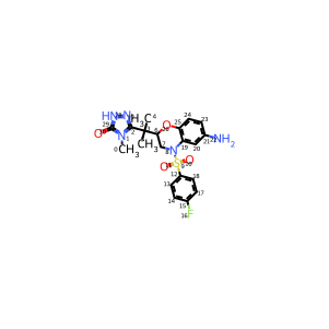 Cn1c(C(C)(C)C2CN(S(=O)(=O)c3ccc(F)cc3)c3cc(N)ccc3O2)n[nH]c1=O